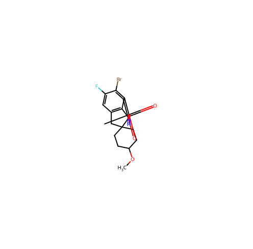 COC1CCC2(CC1)Cc1cc(F)c(Br)cc1C21NC(=O)NC1=O